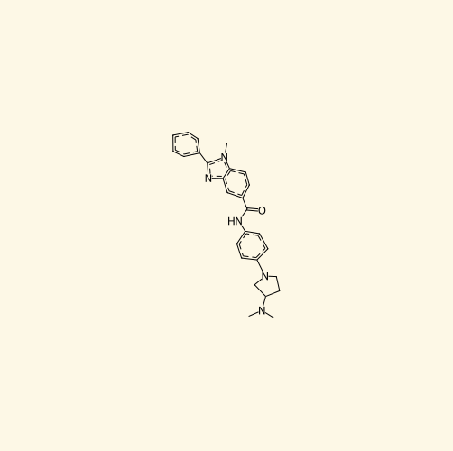 CN(C)C1CCN(c2ccc(NC(=O)c3ccc4c(c3)nc(-c3ccccc3)n4C)cc2)C1